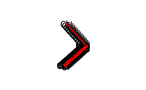 CO.CO.CO.ClCCl.ClCCl.ClCCl.ClCCl.ClCCl.ClCCl.ClCCl.ClCCl.ClCCl.ClCCl.ClCCl.ClCCl.ClCCl.ClCCl.ClCCl.ClCCl.ClCCl.ClCCl.ClCCl.ClCCl.ClCCl.ClCCl.ClCCl.ClCCl.ClCCl.ClCCl.ClCCl.ClCCl.ClCCl.ClCCl.ClCCl.ClCCl.ClCCl.ClCCl.ClCCl.ClCCl.ClCCl.ClCCl.ClCCl.ClCCl